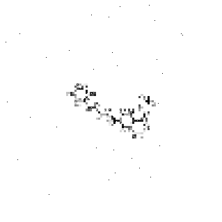 CN(C)C/C=C1/CCCc2cc(OCCCCc3ccccc3)ccc21